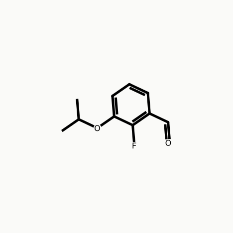 CC(C)Oc1cccc(C=O)c1F